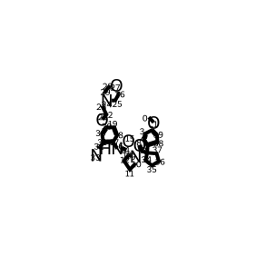 COc1ccc(C2(C(=O)N3CCC[C@@H]3C(=O)Nc3ccc(OCCN4CCOCC4)cc3C#N)CCCC2)cc1